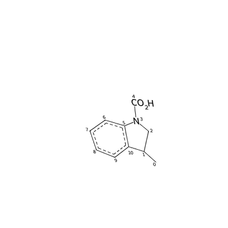 CC1CN(C(=O)O)c2ccccc21